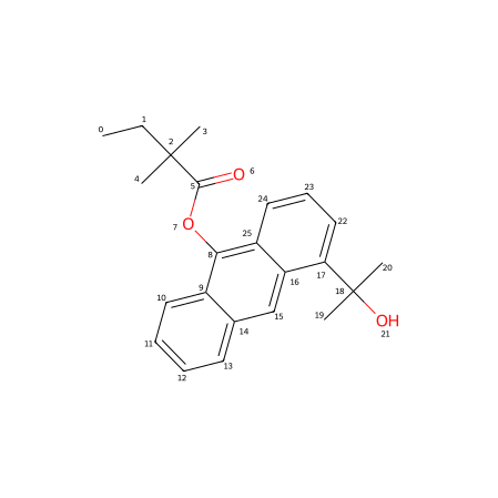 CCC(C)(C)C(=O)Oc1c2ccccc2cc2c(C(C)(C)O)cccc12